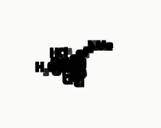 CNCCCOC(=O)O[C@H](c1ccc(S(C)(=O)=O)cc1)[C@@H](CF)NC(=O)C(Cl)Cl.Cl